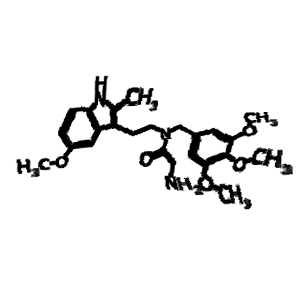 COc1ccc2[nH]c(C)c(CCN(Cc3cc(OC)c(OC)c(OC)c3)C(=O)CN)c2c1